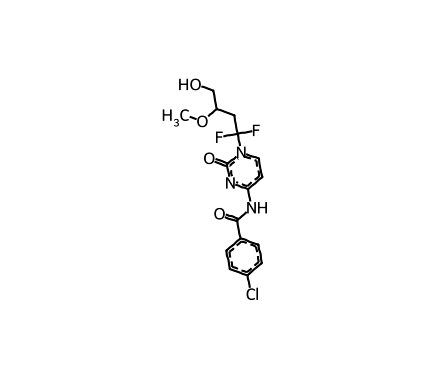 COC(CO)CC(F)(F)n1ccc(NC(=O)c2ccc(Cl)cc2)nc1=O